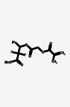 C=C(C)C(=O)OCC(=O)OC(C(C)C)C(F)(F)C(=O)OC